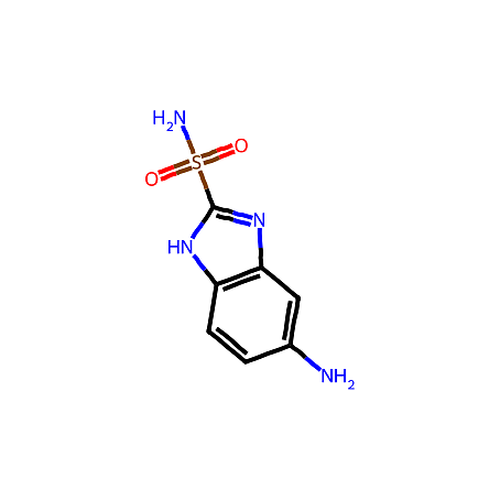 Nc1ccc2[nH]c(S(N)(=O)=O)nc2c1